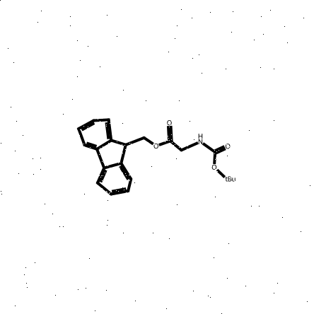 CC(C)(C)OC(=O)NCC(=O)OCC1c2ccccc2-c2ccccc21